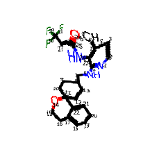 Cc1ccnc(NCC2CCC3(CC2)OCCc2ccccc23)c1NC(=O)CC(F)(F)F